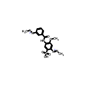 C/N=N/c1cccc(C(=O)Nc2cc(S(=O)(=O)O)c(/N=N/C)cc2OC)c1